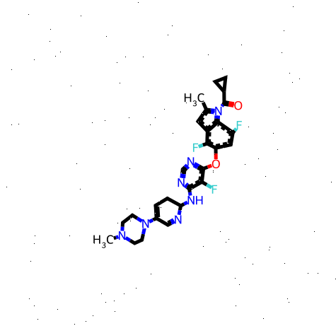 Cc1cc2c(F)c(Oc3ncnc(NC4CC=C(N5CCN(C)CC5)C=N4)c3F)cc(F)c2n1C(=O)C1CC1